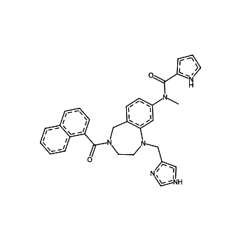 CN(C(=O)c1ccc[nH]1)c1ccc2c(c1)N(Cc1c[nH]cn1)CCN(C(=O)c1cccc3ccccc13)C2